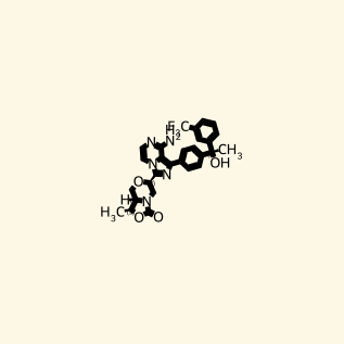 C[C@@H]1OC(=O)N2C[C@H](c3nc(-c4ccc([C@@](C)(O)c5cccc(C(F)(F)F)c5)cc4)c4c(N)nccn34)OC[C@@H]12